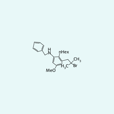 CCCCCCc1c(CC(C)(C)Br)cc(OC)cc1NCc1ccccc1